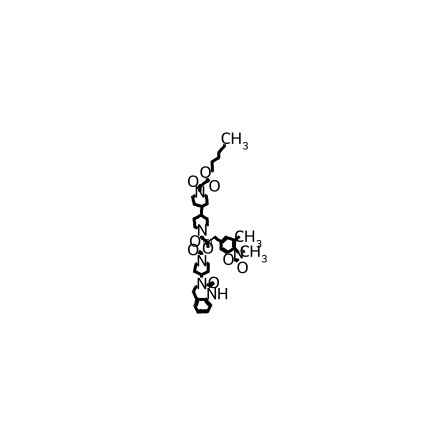 CCCCCCOC(=O)C(=O)N1CCC(C2CCN(C(=O)[C@@H](Cc3cc(C)c4c(c3)oc(=O)n4C)OC(=O)N3CCC(N4CCc5ccccc5NC4=O)CC3)CC2)CC1